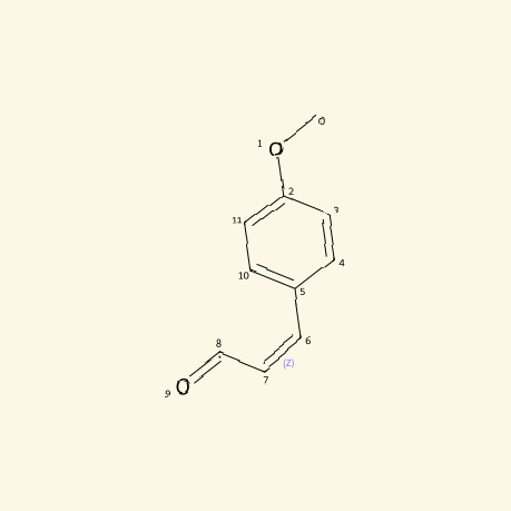 COc1ccc(/C=C\[C]=O)cc1